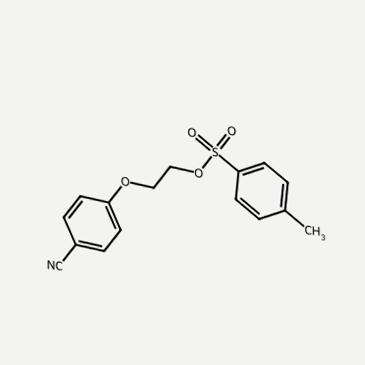 Cc1ccc(S(=O)(=O)OCCOc2ccc(C#N)cc2)cc1